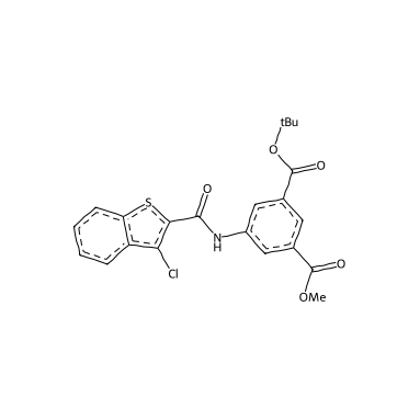 COC(=O)c1cc(NC(=O)c2sc3ccccc3c2Cl)cc(C(=O)OC(C)(C)C)c1